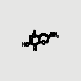 COC1CC(N)CCC1NC(=O)O